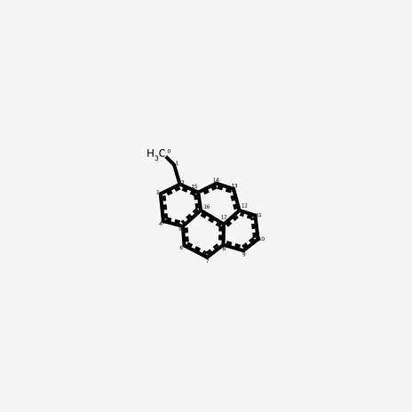 CCc1c[c]c2ccc3cccc4ccc1c2c34